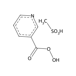 CS(=O)(=O)O.O=C(OO)c1cccnc1